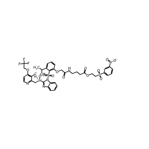 Cc1c(OCC(F)(F)F)ccnc1C[S+]([O-])c1nc2ccccc2n1S(=O)(=O)c1c(OCC(=O)NCCCC(=O)OCCS(=O)(=O)c2cccc([N+](=O)[O-])c2)cccc1C(C)C